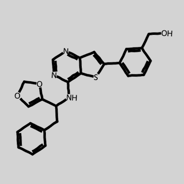 OCc1cccc(-c2cc3ncnc(NC(Cc4ccccc4)C4=COCO4)c3s2)c1